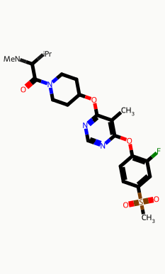 CNC(C(=O)N1CCC(Oc2ncnc(Oc3ccc(S(C)(=O)=O)cc3F)c2C)CC1)C(C)C